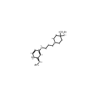 CCOC(=O)C1(F)CCN(CCCOc2cc[nH]/c(=N\C(C)C)c2)CC1